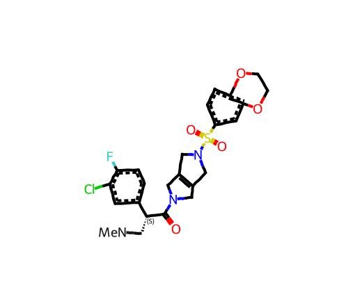 CNC[C@@H](C(=O)N1CC2=C(C1)CN(S(=O)(=O)c1ccc3c(c1)OCCO3)C2)c1ccc(F)c(Cl)c1